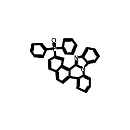 O=P(c1ccccc1)(c1ccccc1)c1ccc2ccc3c4ccccc4n4c5ccccc5nc4c3c2c1